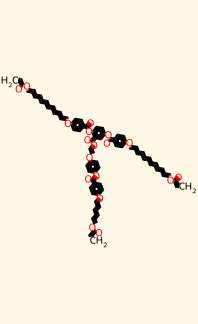 C=CC(=O)OCCCCCCCCCCCCOc1ccc(C(=O)Oc2ccc(OC(=O)c3ccc(OCCCCCCCCCCCCOC(=O)C=C)cc3)c(C(=O)OCCOc3ccc(OC(=O)c4ccc(OCCCCCCOC(=O)C=C)cc4)cc3)c2)cc1